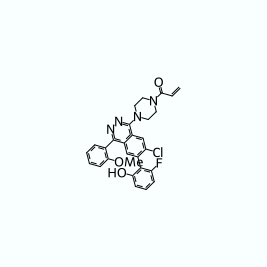 C=CC(=O)N1CCN(c2nnc(-c3ccccc3OC)c3cc(-c4c(O)cccc4F)c(Cl)cc23)CC1